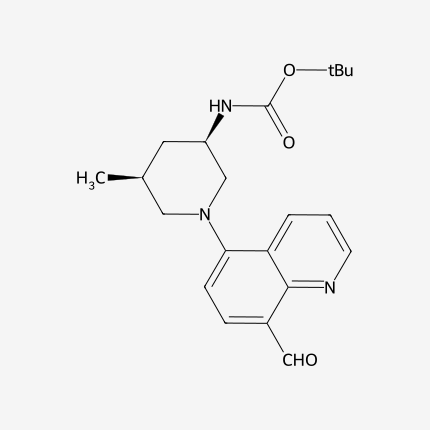 C[C@H]1C[C@@H](NC(=O)OC(C)(C)C)CN(c2ccc(C=O)c3ncccc23)C1